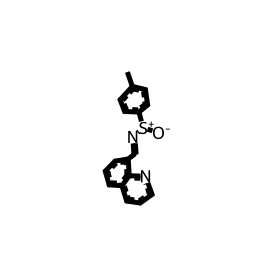 Cc1ccc([S+]([O-])N=Cc2cccc3cccnc23)cc1